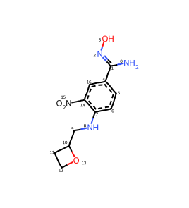 NC(=NO)c1ccc(NCC2CCO2)c([N+](=O)[O-])c1